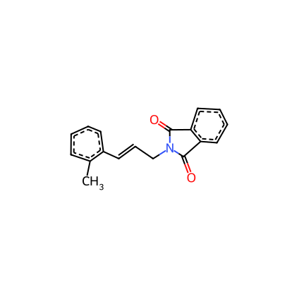 Cc1ccccc1/C=C/CN1C(=O)c2ccccc2C1=O